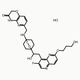 Cl.O=C1COc2ccc(CNC34CCC(C(O)Cc5c(F)cnc6ccc(OCCCO)nc56)(CC3)OC4)nc2N1